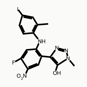 Cc1cc(I)ccc1Nc1cc(F)c([N+](=O)[O-])cc1-c1nnn(C)c1O